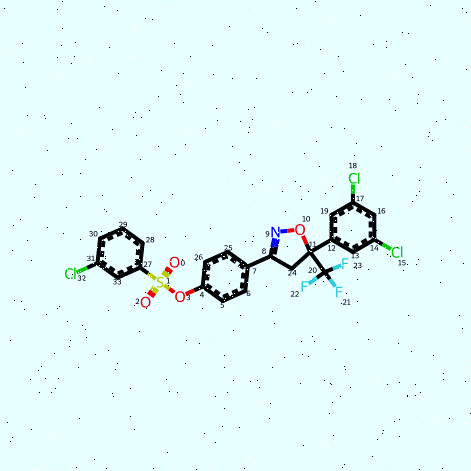 O=S(=O)(Oc1ccc(C2=NOC(c3cc(Cl)cc(Cl)c3)(C(F)(F)F)C2)cc1)c1cccc(Cl)c1